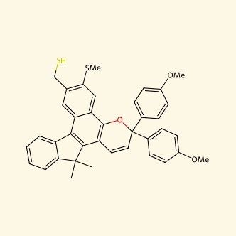 COc1ccc(C2(c3ccc(OC)cc3)C=Cc3c4c(c5cc(CS)c(SC)cc5c3O2)-c2ccccc2C4(C)C)cc1